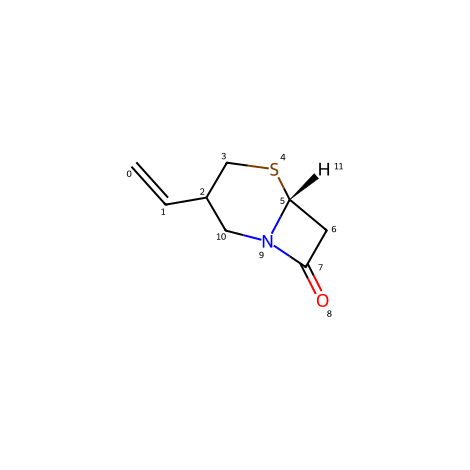 C=CC1CS[C@@H]2CC(=O)N2C1